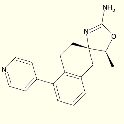 C[C@@H]1OC(N)=N[C@]12CCc1c(cccc1-c1ccncc1)C2